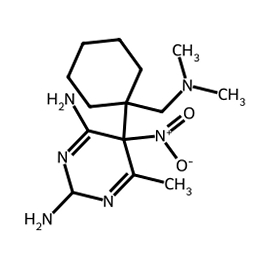 CC1=NC(N)N=C(N)C1([N+](=O)[O-])C1(CN(C)C)CCCCC1